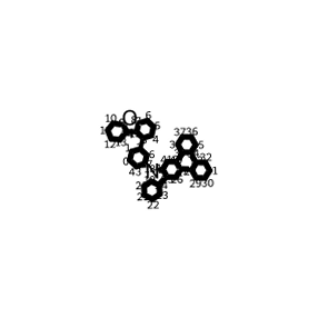 c1cc(-c2cccc3oc4ccccc4c23)cc(-n2c3ccccc3c3cc4c5ccccc5c5ccccc5c4cc32)c1